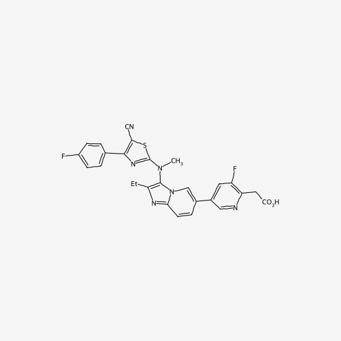 CCc1nc2ccc(-c3cnc(CC(=O)O)c(F)c3)cn2c1N(C)c1nc(-c2ccc(F)cc2)c(C#N)s1